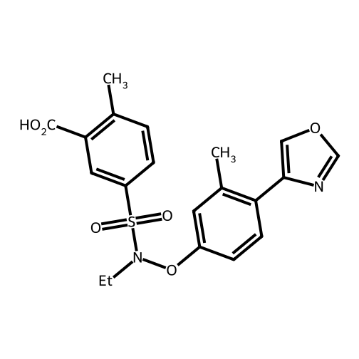 CCN(Oc1ccc(-c2cocn2)c(C)c1)S(=O)(=O)c1ccc(C)c(C(=O)O)c1